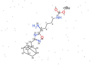 CC(C)(C)OC(=O)NCCCC[C@H](N)c1nc(CC23CC4CC(CC(C4)C2)C3)no1